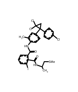 CSCC(C)NC(=O)c1c(I)cccc1C(=O)Nc1ccc(C2(c3ccc(Cl)cc3)CC2(Cl)Cl)cc1C